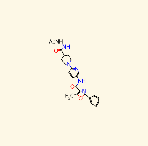 CC(=O)NNC(=O)C1CCN(c2ccc(NC(=O)c3nc(-c4ccccc4)oc3C(F)(F)F)cn2)CC1